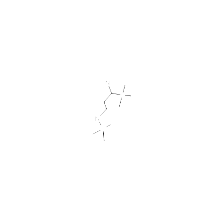 C[Si](C)(C)NCCC(N)[Si](C)(C)C